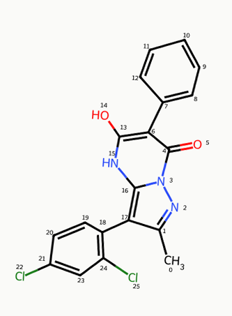 Cc1nn2c(=O)c(-c3ccccc3)c(O)[nH]c2c1-c1ccc(Cl)cc1Cl